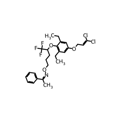 CCc1cc(OCC=C(Cl)Cl)cc(CC)c1OC(CCCON=C(C)c1ccccc1)C(F)(F)F